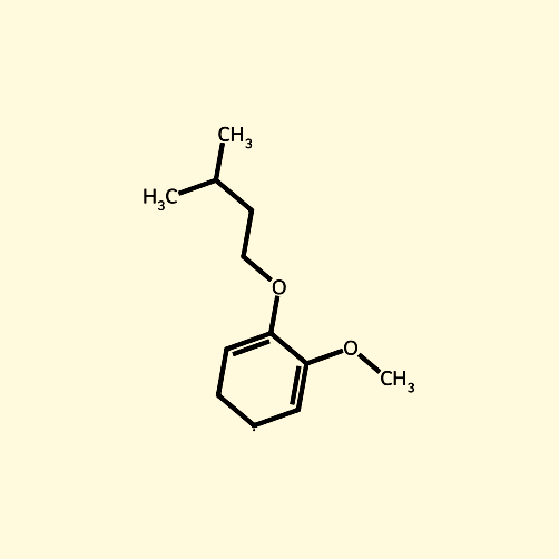 COC1=C[CH]CC=C1OCCC(C)C